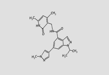 Cc1cc(C)c(CNC(=O)c2cc(-c3cnn(C)c3)cc3c2cnn3C(C)C)c(=O)[nH]1